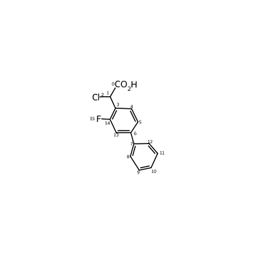 O=C(O)C(Cl)c1ccc(-c2ccccc2)cc1F